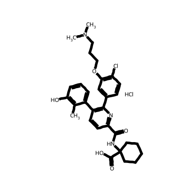 Cc1c(O)cccc1-c1ccc(C(=O)NC2(C(=O)O)CCCCC2)nc1-c1ccc(Cl)c(OCCCN(C)C)c1.Cl